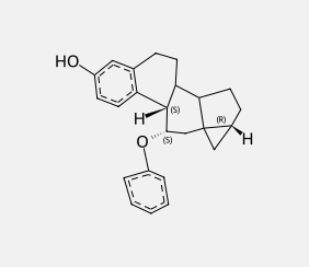 Oc1ccc2c(c1)CCC1C3CC[C@@H]4CC34C[C@H](Oc3ccccc3)[C@H]21